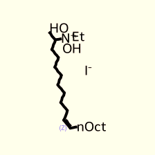 CCCCCCCC/C=C\CCCCCCCCC(C)[N+](O)(O)CC.[I-]